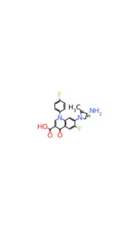 C[C@H]1[C@H](N)CN1c1cc2c(cc1F)c(=O)c(C(=O)O)cn2-c1ccc(F)cc1